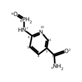 NC(=O)c1ccc(N[PH2]=O)nc1